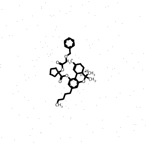 CCCCCc1cc(OC(=O)C2(OC(=O)COCc3ccccc3)CCCC2)c2c(c1)OC(C)(C)[C@@H]1CCC(C)=CC21